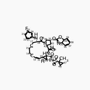 CC1(S(=O)(=O)NC(=O)[C@@]23C[C@H]2/C=C\CCCCC[C@H](Nc2cccc(F)c2)C(=O)N2C[C@H](OC4=NC5C=CC=CC5O4)C[C@H]2C(=O)N3)CC1